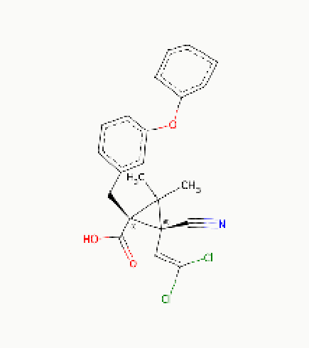 CC1(C)[C@](C#N)(C=C(Cl)Cl)[C@]1(Cc1cccc(Oc2ccccc2)c1)C(=O)O